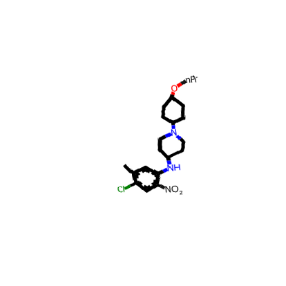 CCCOC1CCC(N2CCC(Nc3cc(C)c(Cl)cc3[N+](=O)[O-])CC2)CC1